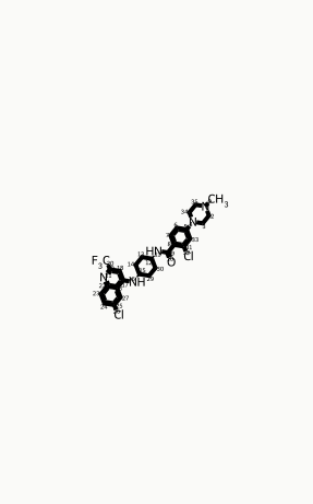 CN1CCN(c2ccc(C(=O)N[C@H]3CC[C@@H](Nc4cc(C(F)(F)F)nc5ccc(Cl)cc45)CC3)c(Cl)c2)CC1